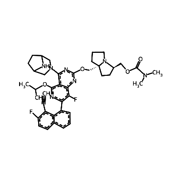 C#Cc1c(F)ccc2cccc(-c3nc(OC(C)C)c4c(N5CC6CCC(C5)N6)nc(OC[C@]56CCCN5[C@@H](COC(=O)N(C)C)CC6)nc4c3F)c12